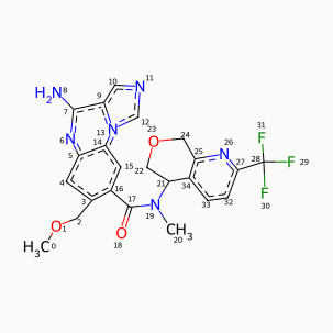 COCc1cc2nc(N)c3cncn3c2cc1C(=O)N(C)C1COCc2nc(C(F)(F)F)ccc21